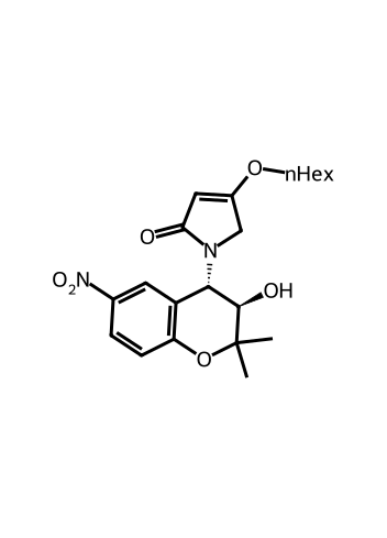 CCCCCCOC1=CC(=O)N([C@H]2c3cc([N+](=O)[O-])ccc3OC(C)(C)[C@@H]2O)C1